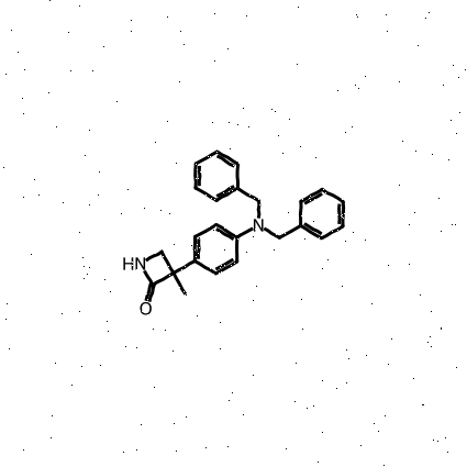 CC1(c2ccc(N(Cc3ccccc3)Cc3ccccc3)cc2)CNC1=O